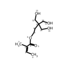 CC=C(C)C(=O)OCCC(CO)(CO)CO